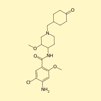 COc1cc(N)c(Cl)cc1C(=O)NC1CCN(CC2CCC(=O)CC2)CC1OC